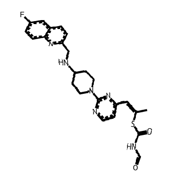 C/C(=C/c1ccnc(N2CCC(NCc3ccc4cc(F)ccc4n3)CC2)n1)SC(=O)NC=O